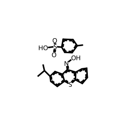 CC(C)c1ccc2sc3ccccc3c(=NO)c2c1.Cc1ccc(S(=O)(=O)O)cc1